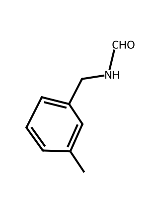 Cc1cccc(CNC=O)c1